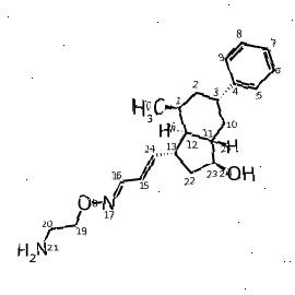 C[C@H]1C[C@H](c2ccccc2)C[C@H]2[C@H]1[C@@H](/C=C/C=N/OCCN)C[C@@H]2O